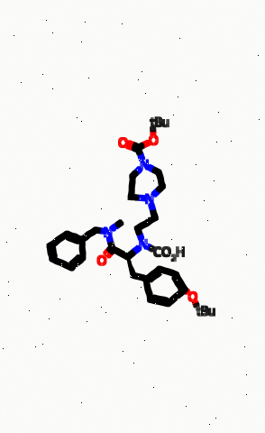 CN(Cc1ccccc1)C(=O)[C@H](Cc1ccc(OC(C)(C)C)cc1)N(CCN1CCN(C(=O)OC(C)(C)C)CC1)C(=O)O